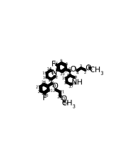 COCCCOC(c1ccc(F)c(N2CCC[C@@H](C(OCCCOC)c3cccc(F)c3)C2)c1)[C@@H]1CCCNC1